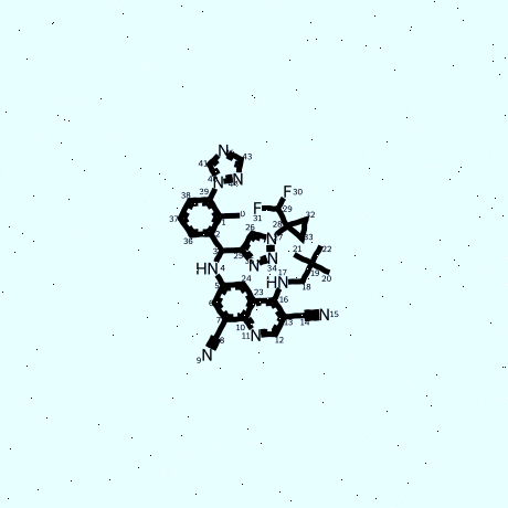 Cc1c(C(Nc2cc(C#N)c3ncc(C#N)c(NCC(C)(C)C)c3c2)c2cn(C3(C(F)F)CC3)nn2)cccc1-n1cncn1